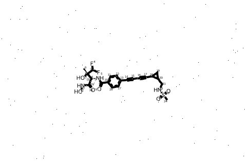 C[C@@](O)(C(F)F)[C@H](NC(=O)c1ccc(C#CC#CC2CC2CNS(C)(=O)=O)cc1)C(=O)NO